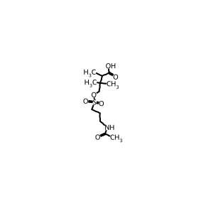 CC(=O)NCCCS(=O)(=O)OCC(C)(C)C(C)C(=O)O